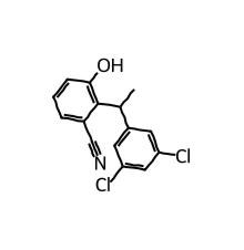 CC(c1cc(Cl)cc(Cl)c1)c1c(O)cccc1C#N